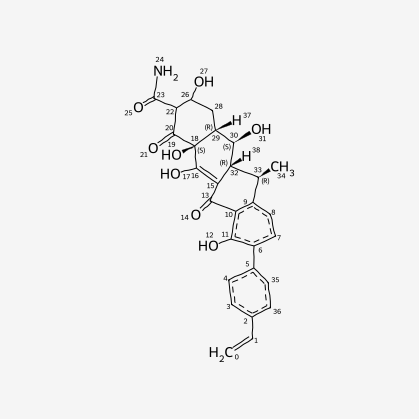 C=Cc1ccc(-c2ccc3c(c2O)C(=O)C2=C(O)[C@]4(O)C(=O)C(C(N)=O)C(O)C[C@@H]4[C@@H](O)[C@@H]2[C@H]3C)cc1